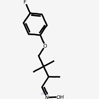 CC(/C=N\O)C(C)(C)COc1ccc(F)cc1